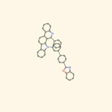 c1ccc(-c2nc3ccccc3c3ccc4c5ccccc5n(-c5cccc(-c6ccc(-c7nc8ccccc8o7)cc6)c5)c4c23)cc1